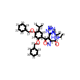 CCNC(=O)c1noc(-c2cc(C(C)C)c(OCc3ccccc3)cc2OCc2ccccc2)c1-c1nnnn1CC